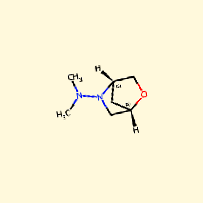 CN(C)N1C[C@@H]2C[C@H]1CO2